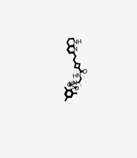 Cc1cc(C)c(S(=O)(=O)N[C@@H](C)CNC(=O)C2CC(CCc3ccc4c(n3)NCCC4)C2)c(C)c1